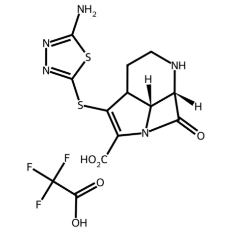 Nc1nnc(SC2=C(C(=O)O)N3C(=O)[C@H]4NCCC2[C@H]43)s1.O=C(O)C(F)(F)F